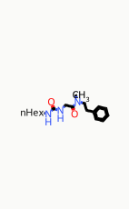 CCCCCCNC(=O)NCC(=O)N(C)CCc1ccccc1